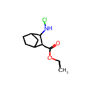 CCOC(=O)C1C2CCC(C2)C1NCl